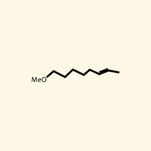 [CH2]OCCCCCC=CC